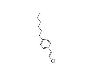 CCCCCCc1ccc(C=CCl)cc1